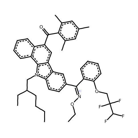 CCCCC(CC)Cn1c2ccc(/C(=N\OCC)c3ccccc3OCC(F)(F)C(F)F)cc2c2cc(C(=O)c3c(C)cc(C)cc3C)c3ccccc3c21